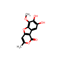 COc1c(O)c(O)cc2c1oc1cc(C)oc(=O)c12